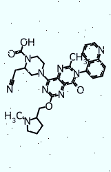 Cc1nc2c(N3CCN(C(=O)O)C(CC#N)C3)nc(OCC3CCCN3C)nc2c(=O)n1-c1cccc2ncccc12